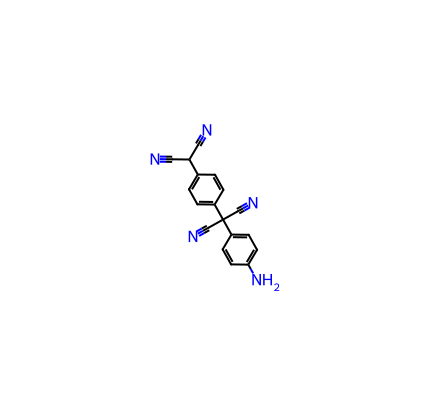 N#CC(C#N)c1ccc(C(C#N)(C#N)c2ccc(N)cc2)cc1